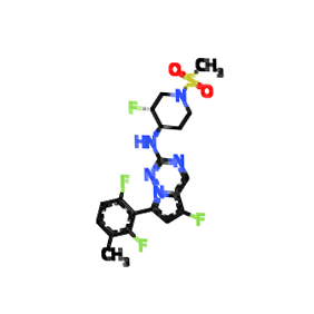 Cc1ccc(F)c(-c2cc(F)c3cnc(N[C@@H]4CCN(S(C)(=O)=O)C[C@H]4F)nn23)c1F